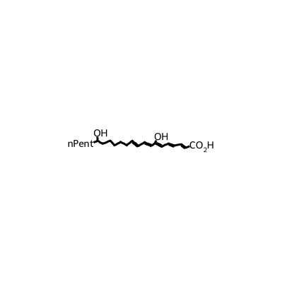 CCCCCC(O)CCCCCC=CC=CC(O)=CC=CC=CC(=O)O